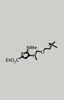 CCOC(=O)c1cc(N(C)COCC[Si](C)(C)C)c(NC)s1